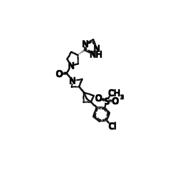 CS(=O)(=O)c1cc(Cl)ccc1C12CC(C3CN(C(=O)N4CC[C@H](c5ncn[nH]5)C4)C3)(C1)C2